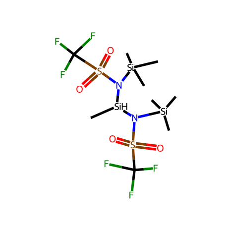 C[SiH](N([Si](C)(C)C)S(=O)(=O)C(F)(F)F)N([Si](C)(C)C)S(=O)(=O)C(F)(F)F